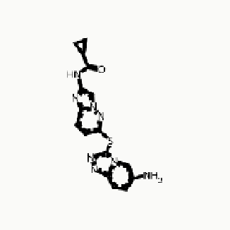 Nc1ccc2nnc(Sc3ccc4nc(NC(=O)C5CC5)cn4n3)n2c1